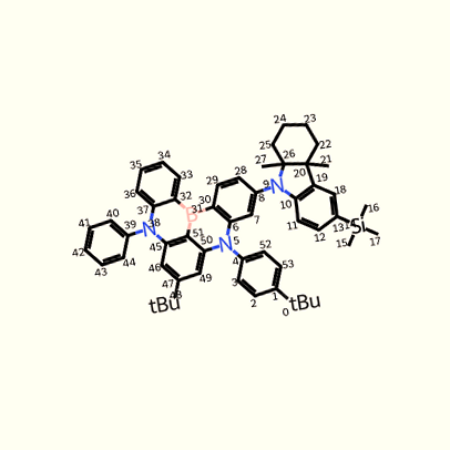 CC(C)(C)c1ccc(N2c3cc(N4c5ccc([Si](C)(C)C)cc5C5(C)CCCCC45C)ccc3B3c4ccccc4N(c4ccccc4)c4cc(C(C)(C)C)cc2c43)cc1